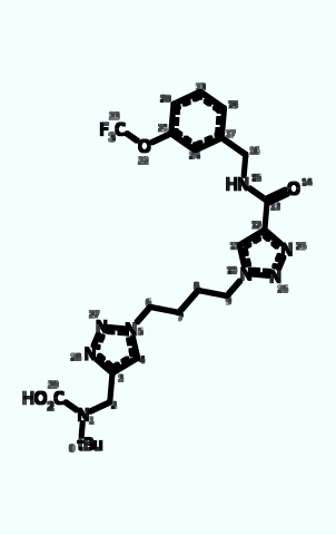 CC(C)(C)N(Cc1cn(CCCCn2cc(C(=O)NCc3cccc(OC(F)(F)F)c3)nn2)nn1)C(=O)O